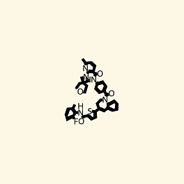 Cc1ccc(C(=O)Nc2ccc(C(=O)N3CCC(c4ccc(C(=O)Nc5c(C)cccc5F)s4)=Cc4ccccc43)cc2)c(N2CC3(CCOCC3)C2)n1